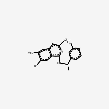 COc1cc2nc(Cl)nc(N[C@H](C)c3cccc(C(F)(F)F)c3)c2cc1Br